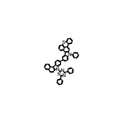 c1ccc(-c2nc(-c3ccccc3)nc(-n3c4cc(-c5ccc6c(c5)c5c7cccc8c7c(cc5n6-c5ccccc5)-c5ccccc5S8)ccc4c4c5ccccc5ccc43)n2)cc1